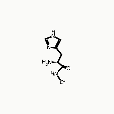 CCNC(=O)[C@@H](N)Cc1c[nH]cn1